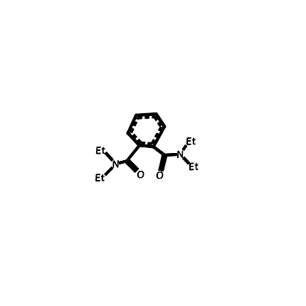 CCN(CC)C(=O)c1ccccc1C(=O)N(CC)CC